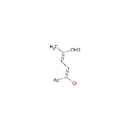 CC(=O)/C(O)=C\C=C(\C)C=O